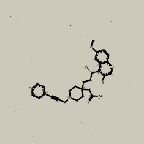 COc1ccc2ncc(Cl)c([C@@H](O)CCC3(CC(=O)O)CCN(CC#Cc4ccncc4)CC3)c2c1